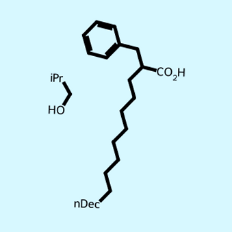 CC(C)CO.CCCCCCCCCCCCCCCCCCC(Cc1ccccc1)C(=O)O